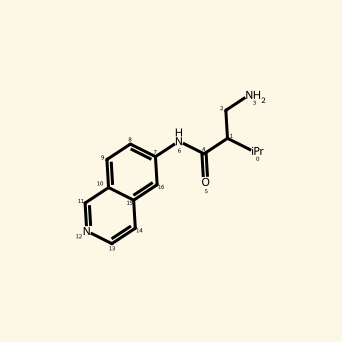 CC(C)C(CN)C(=O)Nc1ccc2cnccc2c1